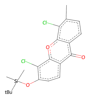 Cc1ccc2c(=O)c3ccc(O[Si](C)(C)C(C)(C)C)c(Cl)c3oc2c1Cl